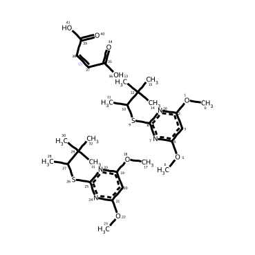 COc1cc(OC)nc(SC(C)C(C)(C)C)n1.COc1cc(OC)nc(SC(C)C(C)(C)C)n1.O=C(O)/C=C\C(=O)O